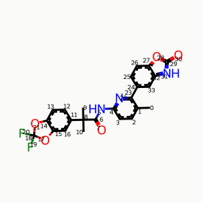 Cc1ccc(NC(=O)C(C)(C)c2ccc3c(c2)OC(F)(F)O3)nc1-c1ccc2oc(=O)[nH]c2c1